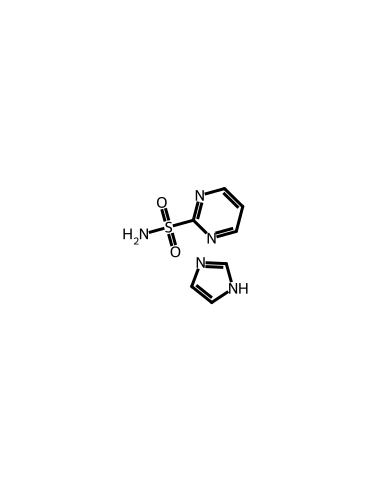 NS(=O)(=O)c1ncccn1.c1c[nH]cn1